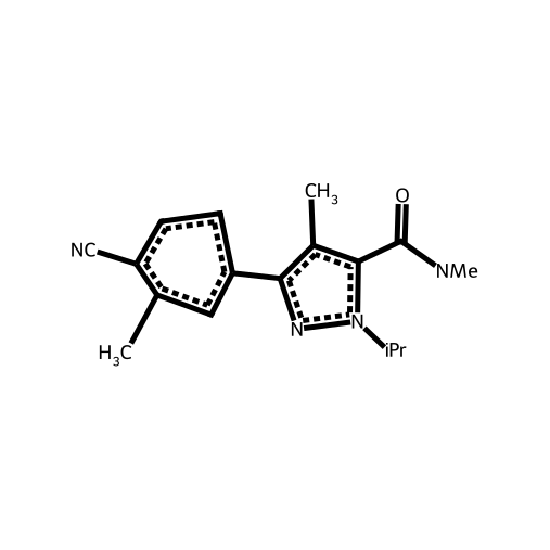 CNC(=O)c1c(C)c(-c2ccc(C#N)c(C)c2)nn1C(C)C